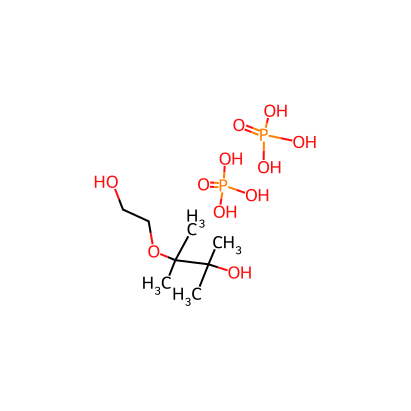 CC(C)(O)C(C)(C)OCCO.O=P(O)(O)O.O=P(O)(O)O